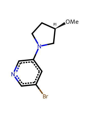 CO[C@@H]1CCN(c2cncc(Br)c2)C1